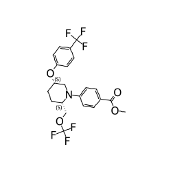 COC(=O)c1ccc(N2C[C@@H](Oc3ccc(C(F)(F)F)cc3)CC[C@H]2COC(F)(F)F)cc1